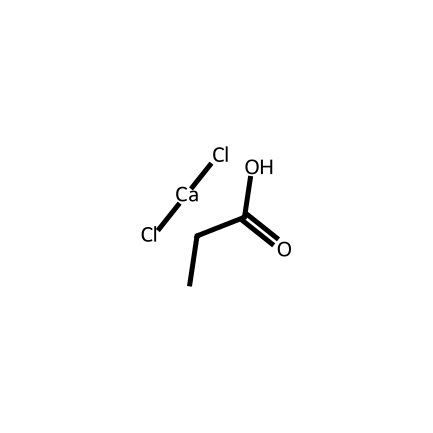 CCC(=O)O.[Cl][Ca][Cl]